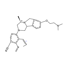 C=Nc1c(C#N)ccc(N2CC3c4ccc(OCCN(C)C)cc4CN3[C@H](C)C2)c1/C=C\C